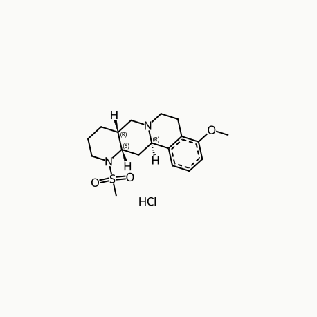 COc1cccc2c1CCN1C[C@H]3CCCN(S(C)(=O)=O)[C@H]3C[C@H]21.Cl